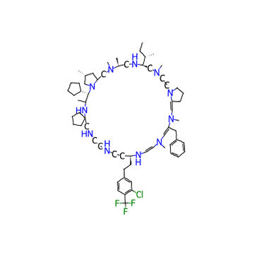 CC[C@H](C)[C@H]1CN(C)CCN2CCCC2=CN(C)C(Cc2ccccc2)=CN(C)C=CN[C@@H](CCc2ccc(C(F)(F)F)c(Cl)c2)CCNCCNCC2(CCCC2)NC(C)[C@H](C2CCCC2)N2C[C@H](C)CC2CN(C)[C@@H](C)CN1